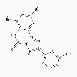 O=c1[nH]c2c(Br)cc(Br)cc2c2nc(-c3cccc(F)c3)nn12